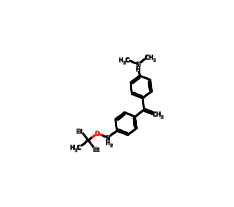 C=C(c1ccc([SiH2]OC(C)(CC)CC)cc1)c1ccc([SiH](C)C)cc1